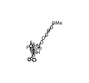 COCCOCCOCCOCCOCCOCCNC(=O)CC[C@@H](NC(=O)OCC1c2ccccc2-c2ccccc21)C(=O)Oc1c(F)c(F)cc(F)c1F